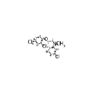 CN(CCOc1ccc(Cl)cc1Cl)c1cccc(Cl)c1